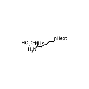 CCCCCCCCCCSCC(N)NC(=O)O